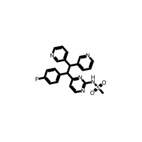 CS(=O)(=O)Nc1nccc(C(c2ccc(F)cc2)C(c2cccnc2)c2cccnc2)n1